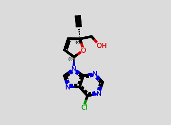 C#C[C@@]1(CO)C=C[C@H](n2cnc3c(Cl)ncnc32)O1